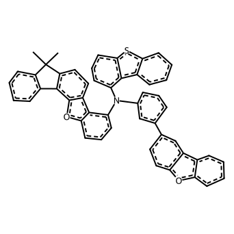 CC1(C)c2ccccc2-c2c1ccc1c2oc2cccc(N(c3cccc(-c4ccc5oc6ccccc6c5c4)c3)c3cccc4sc5ccccc5c34)c21